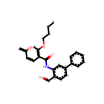 C=C(O)/C=C\C(C(=O)Nc1cc(-c2ccccc2)ccc1C=O)=C(/C)OCCCC